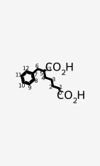 O=C(O)CCCCC(Cc1ccccc1)C(=O)O